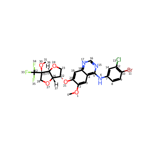 COc1cc2c(Nc3ccc(Br)c(Cl)c3)ncnc2cc1O[C@H]1CO[C@H]2[C@H]1OC[C@]2(OC)C(F)(F)F